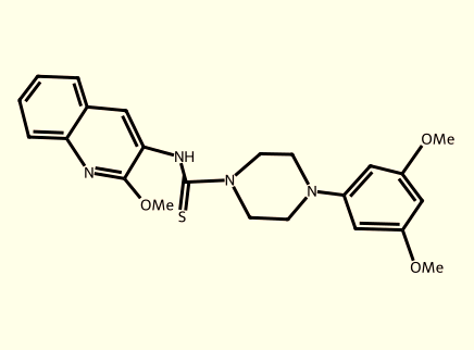 COc1cc(OC)cc(N2CCN(C(=S)Nc3cc4ccccc4nc3OC)CC2)c1